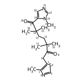 Cc1ncsc1CC(=O)C(C)(C)CCC(C)(C)C(=O)c1cncn1C